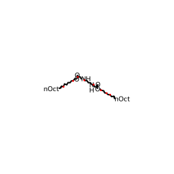 CCCCCCCCC=CCCCCCCCCOC(=O)CCNCCCCNCCC(=O)OCCCCCCCCC=CCCCCCCCC